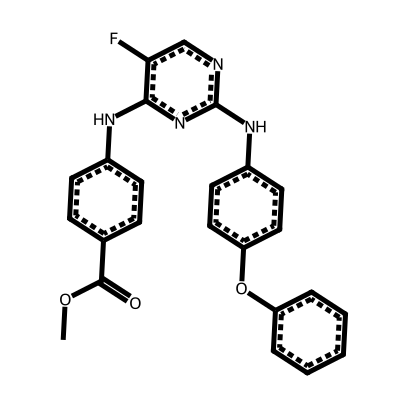 COC(=O)c1ccc(Nc2nc(Nc3ccc(Oc4ccccc4)cc3)ncc2F)cc1